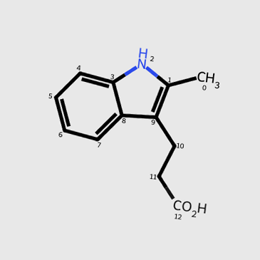 Cc1[nH]c2ccccc2c1CCC(=O)O